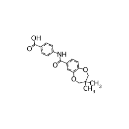 CC1(C)COc2ccc(C(=O)Nc3ccc(C(=O)O)cc3)cc2OC1